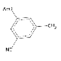 [CH2]c1cc(C#N)cc(OC(C)=O)c1